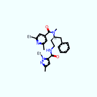 CCc1cc(C(=O)N(C)[C@H](CCNC(=O)c2cc(C)nn2CC)Cc2ccccc2)cc(C)n1